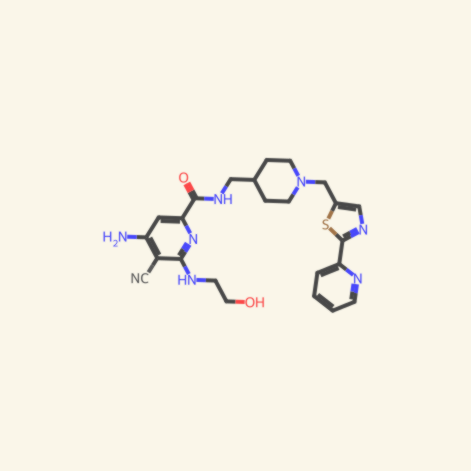 N#Cc1c(N)cc(C(=O)NCC2CCN(Cc3cnc(-c4ccccn4)s3)CC2)nc1NCCO